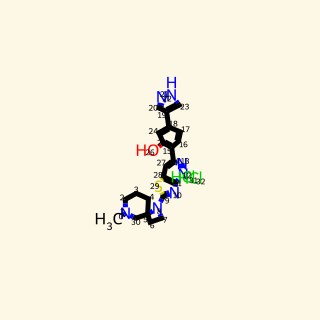 CN1CCCC2(CCN2c2nc3nnc(-c4ccc(-c5cn[nH]c5)cc4O)cc3s2)C1.Cl.Cl